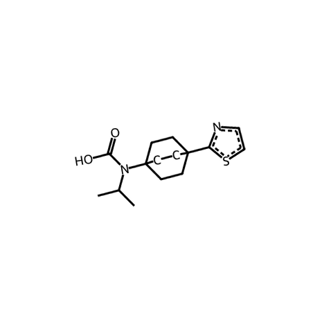 CC(C)N(C(=O)O)C12CCC(c3nccs3)(CC1)CC2